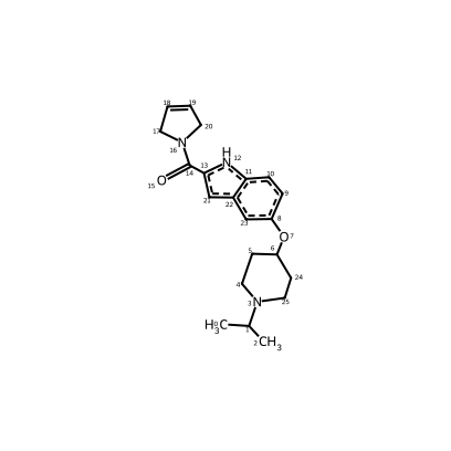 CC(C)N1CCC(Oc2ccc3[nH]c(C(=O)N4CC=CC4)cc3c2)CC1